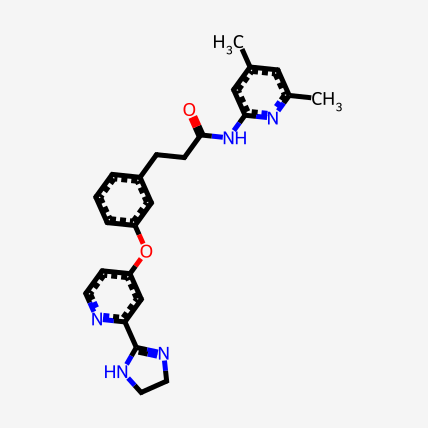 Cc1cc(C)nc(NC(=O)CCc2cccc(Oc3ccnc(C4=NCCN4)c3)c2)c1